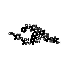 CO[C@H](C(=O)[C@@H](O)[C@@H](C)OC(=O)c1ccccc1)[C@@H]1Cc2cc3cc(OCOC(C)[C@@H](O)COC(C)OC(C)[C@@H](O)COC(C)=O)c(C)c(O)c3c(O)c2C(=O)[C@H]1O[C@H]1CC(OCOC(C)[C@H](O)COC2OC(C)[C@@H](O)C2(C)O)[C@H](O)C(C)O1